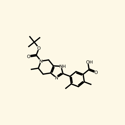 Cc1cc(C)c(-c2nc3c([nH]2)CN(C(=O)OC(C)(C)C)C(C)C3)cc1C(=O)O